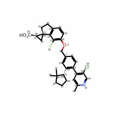 Cc1cc(-c2ccc(COc3ccc4c(c3F)[C@]3(CC4)C[C@H]3C(=O)O)cc2[C@@H]2CCCC2(C)C)c(Cl)cn1